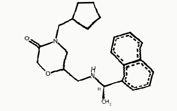 C[C@@H](NCC1CN(CC2CCCC2)C(=O)CO1)c1cccc2ccccc12